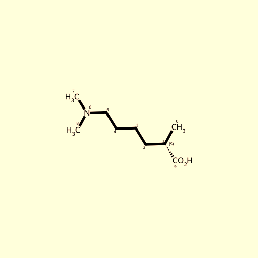 C[C@@H](CCCCN(C)C)C(=O)O